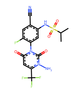 CC(C)S(=O)(=O)Nc1cc(-n2c(=O)cc(C(F)(F)F)n(N)c2=O)c(F)cc1C#N